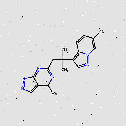 CC(C)(CC1=NC(C(C)(C)C)C2=CN=NC2=N1)c1cnn2cc(C#N)ccc12